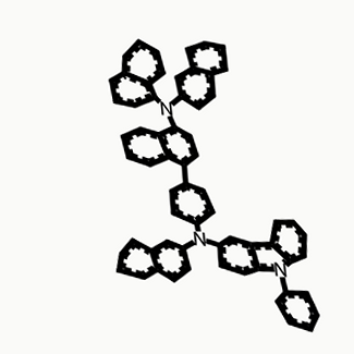 c1ccc(-n2c3ccccc3c3cc(N(c4ccc(-c5ccc(N(c6ccc7ccccc7c6)c6cccc7ccccc67)c6ccccc56)cc4)c4ccc5ccccc5c4)ccc32)cc1